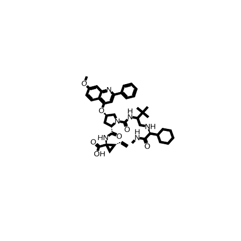 C=C[C@@H]1C[C@]1(NC(=O)[C@@H]1C[C@@H](Oc2cc(-c3ccccc3)nc3cc(OC)ccc23)CN1C(=O)NC(CN[C@H](C(=O)NC)C1CCCCC1)C(C)(C)C)C(=O)O